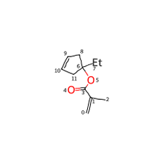 C=C(C)C(=O)OC1(CC)CC=CC1